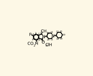 CC1c2cc(F)cc(C(=O)O)c2C(=O)N1C1CCN(C2CCCCC2)CC1.Cl